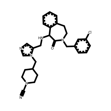 N#CN1CCC(Cn2cncc2CNC2C(=O)N(Cc3cccc(Cl)c3)CCc3ccccc32)CC1